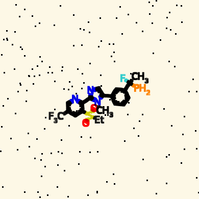 CCS(=O)(=O)c1cc(C(F)(F)F)cnc1-c1ncc(-c2cccc(C(C)(F)P)c2)n1C